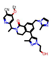 CCOc1cc(C(C)N2CCc3c(cc(Cn4ccnc4C)cc3-c3cn(CCO)nc3C)C2=O)ncc1C#N